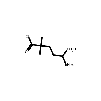 CCCCCCC(CCC(C)(C)C(=O)Cl)C(=O)O